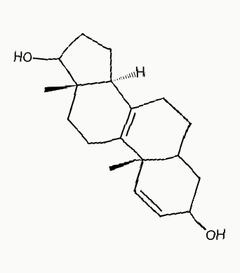 C[C@]12C=CC(O)CC1CCC1=C2CC[C@]2(C)C(O)CC[C@@H]12